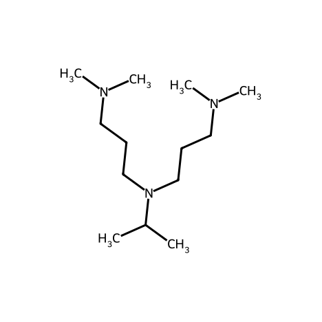 CC(C)N(CCCN(C)C)CCCN(C)C